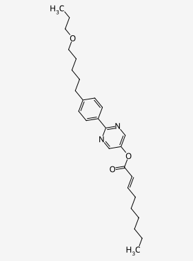 CCCCCCC=CC(=O)Oc1cnc(-c2ccc(CCCCCOCCC)cc2)nc1